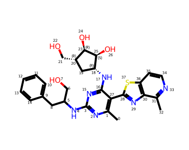 Cc1nc(NC(CO)Cc2ccccc2)nc(N[C@@H]2C[C@H](CO)[C@@H](O)[C@H]2O)c1-c1nc2c(C)nccc2s1